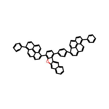 c1ccc(-c2ccc3ccc4c(-c5ccc(-c6ccc(-c7ccc8ccc9c(-c%10ccccc%10)ccc%10ccc7c8c%109)c7oc8cc9ccccc9cc8c67)cc5)ccc5ccc2c3c54)cc1